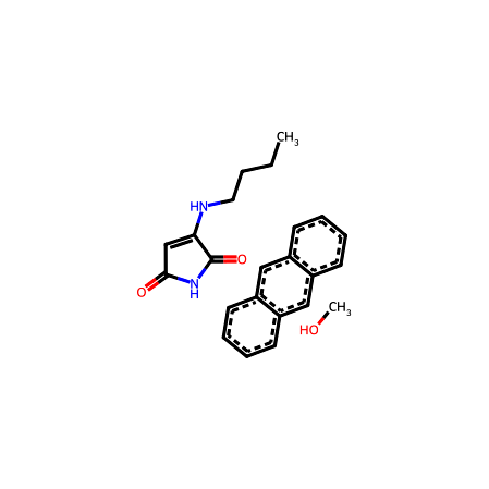 CCCCNC1=CC(=O)NC1=O.CO.c1ccc2cc3ccccc3cc2c1